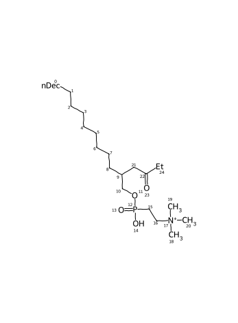 CCCCCCCCCCCCCCCCCCC(COP(=O)(O)CC[N+](C)(C)C)CC(=O)CC